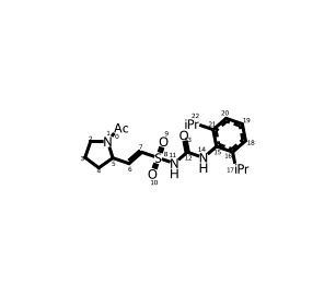 CC(=O)N1CCCC1/C=C/S(=O)(=O)NC(=O)Nc1c(C(C)C)cccc1C(C)C